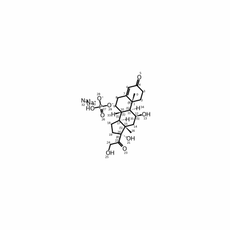 C[C@]12CCC(=O)C=C1CC[C@@H]1[C@@H]2[C@@H](O)C[C@@]2(C)[C@H]1CC[C@]2(O)C(=O)CO.O=P([O-])([O-])O.[Na+].[Na+]